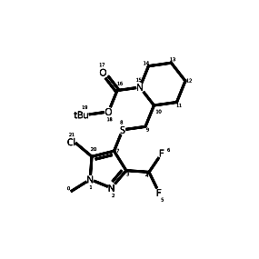 Cn1nc(C(F)F)c(SCC2CCCCN2C(=O)OC(C)(C)C)c1Cl